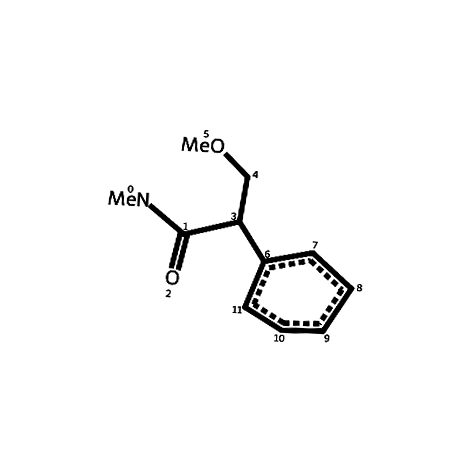 CNC(=O)C(COC)c1ccccc1